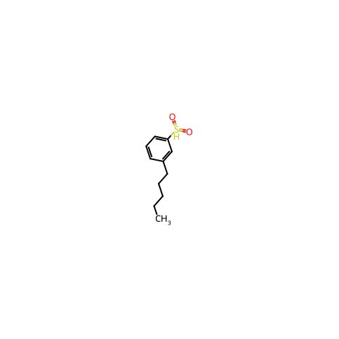 CCCCCc1cccc([SH](=O)=O)c1